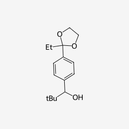 CCC1(c2ccc(C(O)C(C)(C)C)cc2)OCCO1